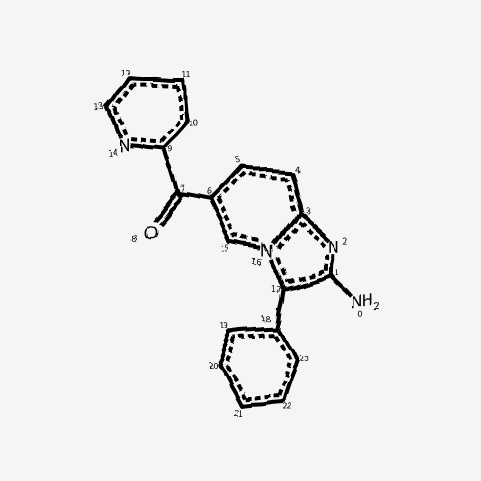 Nc1nc2ccc(C(=O)c3ccccn3)cn2c1-c1ccccc1